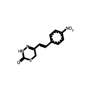 O=C1NN=C(C=Cc2ccc([N+](=O)[O-])cc2)CS1